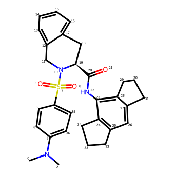 CN(C)c1ccc(S(=O)(=O)N2Cc3ccccc3C[C@H]2C(=O)Nc2c3c(cc4c2CCC4)CCC3)cc1